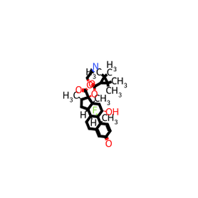 C[C@H]1C[C@H]2[C@@H]3CCC4=CC(=O)C=C[C@]4(C)[C@@]3(F)[C@@H](O)C[C@]2(C)[C@@]1(OC(=O)C1C(C)(C)C1(C)C)C(=O)OCC#N